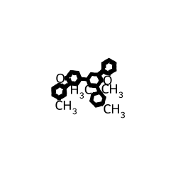 CC1=CCC(C)C(C)(C2=CC(c3ccc4oc5ccc(C)cc5c4c3)Cc3c2oc2ccccc32)C1